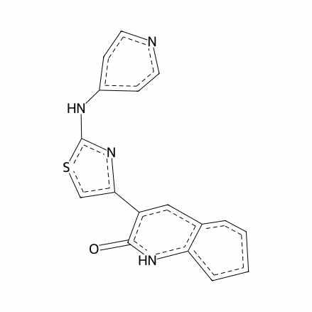 O=c1[nH]c2ccccc2cc1-c1csc(Nc2ccncc2)n1